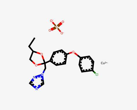 CCC1COC(Cn2cncn2)(c2ccc(Oc3ccc(Cl)cc3)cc2)O1.O=S(=O)([O-])[O-].[Cu+2]